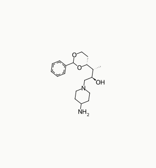 C[C@H]([C@@H](O)CN1CCC(N)CC1)[C@H]1CCOC(c2ccccc2)O1